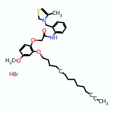 Br.CCCCCCCCCCCCCCOc1cc(OC)ccc1OCC(=O)Nc1ccccc1CN1CSC=C1C